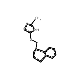 Cc1nnc(SCc2cccc3ccccc23)[nH]1